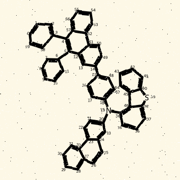 c1ccc(-c2c(-c3ccccc3)c3cc(-c4ccc(N(c5ccc6c(ccc7ccccc76)c5)c5cccc6sc7ccccc7c56)cc4)ccc3c3ccccc23)cc1